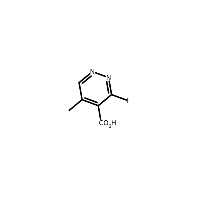 Cc1cnnc(I)c1C(=O)O